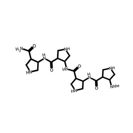 CNC1CNCC1C(=O)NC1CNCC1C(=O)NC1CNCC1C(=O)NC1CNCC1C(N)=O